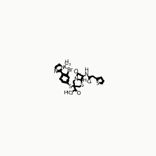 Cn1ccnc1-c1ccc(SC2(C(=O)O)CS[C@@H]3[C@H](NC(=O)Cc4cccs4)C(=O)N3C2)cc1Br